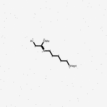 CCCCCCCCCCCC/N=C(/CC(C)=O)OC